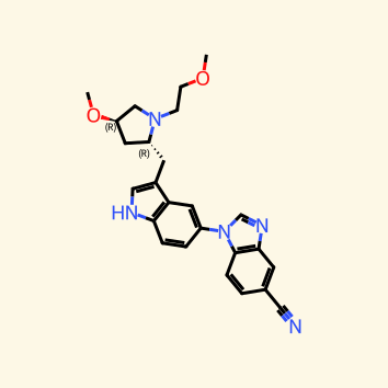 COCCN1C[C@H](OC)C[C@H]1Cc1c[nH]c2ccc(-n3cnc4cc(C#N)ccc43)cc12